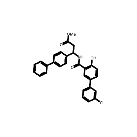 COC(=O)CC(NC(=O)c1cc(-c2cccc(Cl)c2)ccc1O)c1ccc(-c2ccccc2)cc1